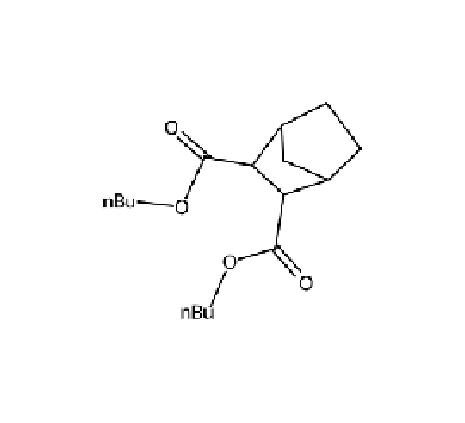 CCCCOC(=O)C1C2CCC(C2)C1C(=O)OCCCC